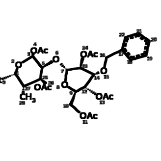 CC[C@@H]1O[C@H](OC(C)=O)[C@@H](O[C@H]2O[C@H](COC(C)=O)[C@@H](OC(C)=O)[C@@H](OCc3ccccc3)[C@@H]2OC(C)=O)[C@@H](OC(C)=O)[C@@H]1C